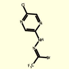 FC(F)(F)/C(Br)=N/Nc1cnc(Cl)cn1